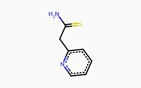 NC(=S)Cc1ccccn1